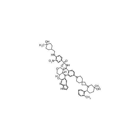 Cc1ccccc1[C@@H]1CC[C@@](C)(O)CN1C1CC2(CCN(c3ccc(C(=O)NS(=O)(=O)c4ccc(NCC5CCC(C)(O)CC5)c([N+](=O)[O-])c4)c(N4c5cc6cc[nH]c6nc5O[C@H]5COCC[C@@H]54)c3)CC2)C1